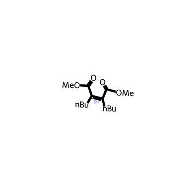 CCCC/C(C(=O)OC)=C(\CCCC)C(=O)OC